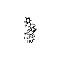 O=c1ccn([C@@H]2O[C@H](CO)C(O)C2O)c(=O)n1CCc1ccccc1F